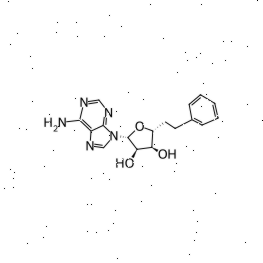 Nc1ncnc2c1ncn2[C@@H]1O[C@H](CCc2ccccc2)[C@@H](O)[C@H]1O